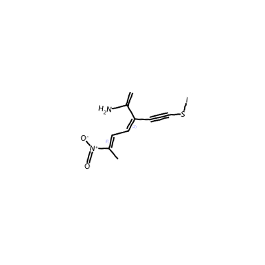 C=C(N)/C(C#CSI)=C\C=C(/C)[N+](=O)[O-]